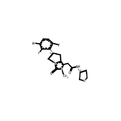 Cn1c(CC(=O)N[C@@H]2CCOC2)c2n(c1=S)C[C@H](c1c(F)ccc(Br)c1F)C2